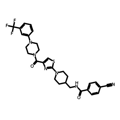 N#Cc1ccc(C(=O)NCC2CCN(c3nc(C(=O)N4CCN(c5cccc(C(F)(F)F)c5)CC4)cs3)CC2)cc1